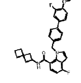 COc1ccc(-c2ccc(Cn3ccc4c(F)ccc(C(=O)NC5CC6(CCC6)C5)c43)cc2)cc1F